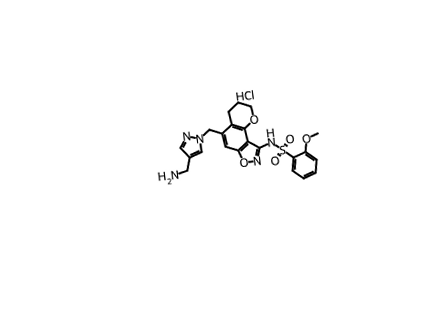 COc1ccccc1S(=O)(=O)Nc1noc2cc(Cn3cc(CN)cn3)c3c(c12)OCCC3.Cl